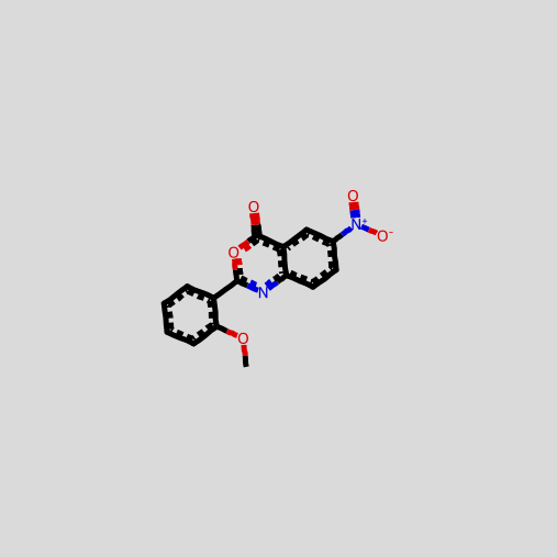 COc1ccccc1-c1nc2ccc([N+](=O)[O-])cc2c(=O)o1